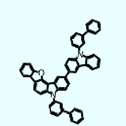 c1ccc(-c2cccc(-n3c4ccccc4c4cc(-c5ccc6c(c5)c5c7oc8ccccc8c7ccc5n6-c5cccc(-c6ccccc6)c5)ccc43)c2)cc1